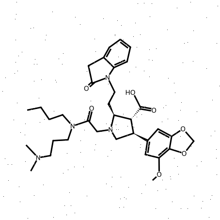 CCCCN(CCCN(C)C)C(=O)CN1C[C@H](c2cc(OC)c3c(c2)OCO3)[C@@H](C(=O)O)[C@@H]1CCN1C(=O)Cc2ccccc21